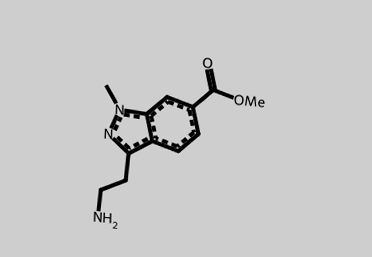 COC(=O)c1ccc2c(CCN)nn(C)c2c1